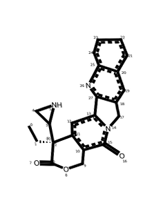 CC[C@@]1(C2CN2)C(=O)OCc2c1cc1n(c2=O)Cc2cc3ccccc3nc2-1